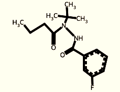 CCCC(=O)N(NC(=O)c1cccc(F)c1)C(C)(C)C